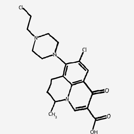 CC1CCc2c(N3CCN(CCCl)CC3)c(Cl)cc3c(=O)c(C(=O)O)cn1c23